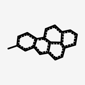 Cc1ccc2c(c1)cc1ccc3cccc4ccc2c1c34